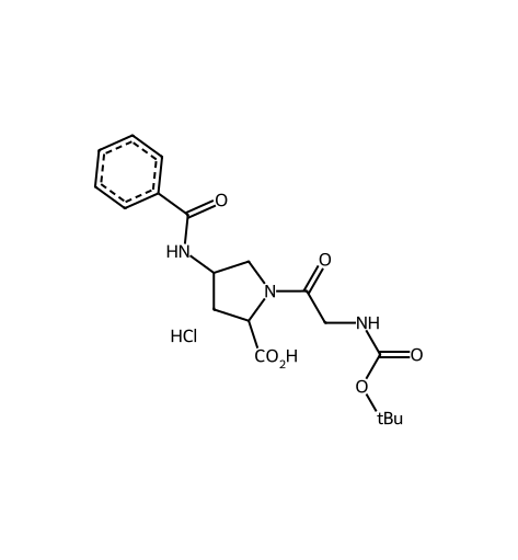 CC(C)(C)OC(=O)NCC(=O)N1CC(NC(=O)c2ccccc2)CC1C(=O)O.Cl